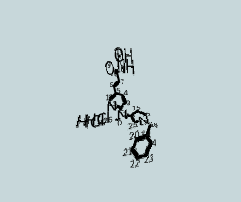 CN(c1ccc(C=CC(=O)NO)cn1)C1CCN(Cc2ccccc2)C1.Cl.Cl